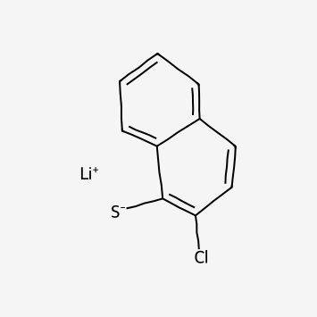 [Li+].[S-]c1c(Cl)ccc2ccccc12